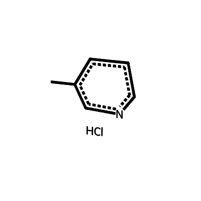 Cc1cccnc1.Cl